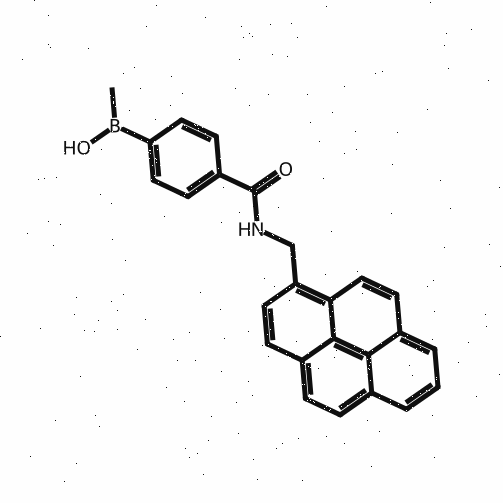 CB(O)c1ccc(C(=O)NCc2ccc3ccc4cccc5ccc2c3c45)cc1